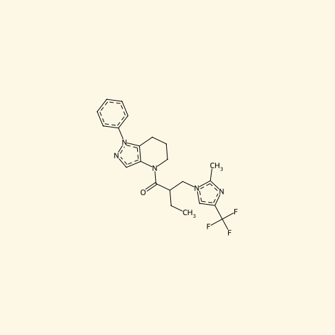 CCC(Cn1cc(C(F)(F)F)nc1C)C(=O)N1CCCc2c1cnn2-c1ccccc1